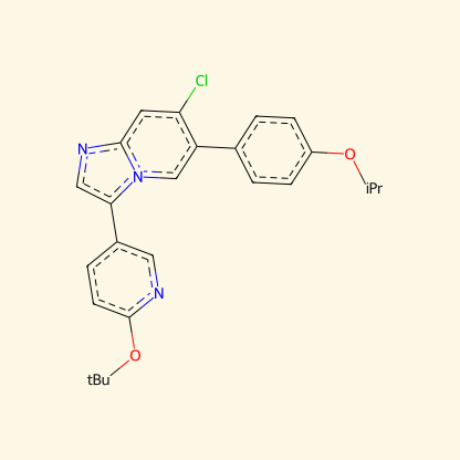 CC(C)Oc1ccc(-c2cn3c(-c4ccc(OC(C)(C)C)nc4)cnc3cc2Cl)cc1